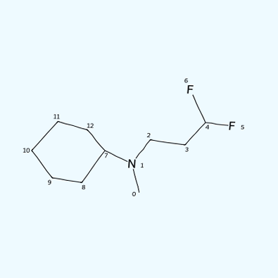 CN(CCC(F)F)C1CCCCC1